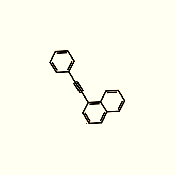 C(#Cc1c[c]cc2ccccc12)c1ccccc1